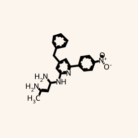 C/C(N)=C/C(N)Nc1cc(Cc2ccccc2)cc(-c2ccc([N+](=O)[O-])cc2)n1